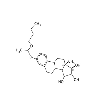 CCCCOC(C)Oc1ccc2c(c1)CCC1C2CC[C@@]2(C)C1C(O)C(O)[C@@H]2O